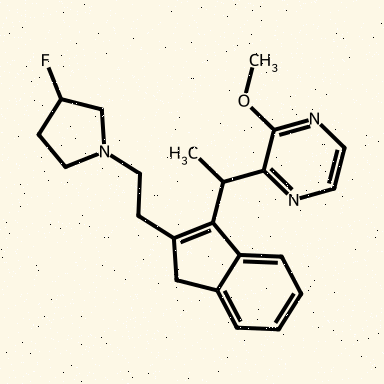 COc1nccnc1C(C)C1=C(CCN2CCC(F)C2)Cc2ccccc21